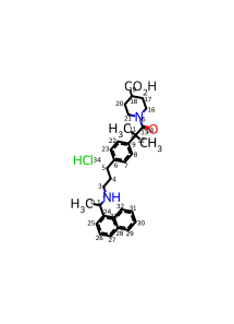 CC(NCCCc1ccc(C(C)(C)C(=O)N2CCC(C(=O)O)CC2)cc1)c1cccc2ccccc12.Cl